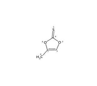 Cc1coc(=S)o1